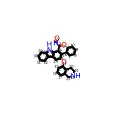 O=NC(=O)c1c(-c2ccccc2)c(Oc2cccc3c2CCNC3)cc2c1[nH]c1ccccc12